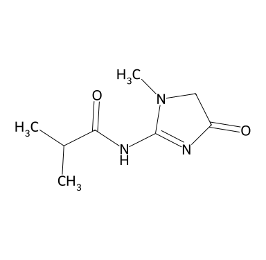 CC(C)C(=O)NC1=NC(=O)CN1C